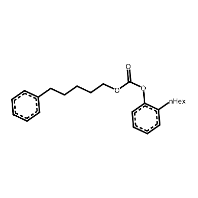 CCCCCCc1ccccc1OC(=O)OCCCCCc1ccccc1